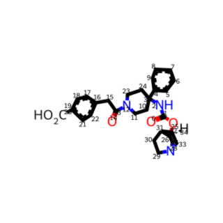 O=C(NC1(c2ccccc2)CCN(C(=O)Cc2ccc(C(=O)O)cc2)CC1)O[C@H]1CN2CCC1CC2